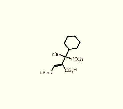 CCCCCC=C(C(=O)O)C(CCCC)(C(=O)O)C1CCCCC1